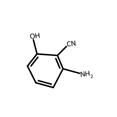 N#Cc1c(N)cccc1O